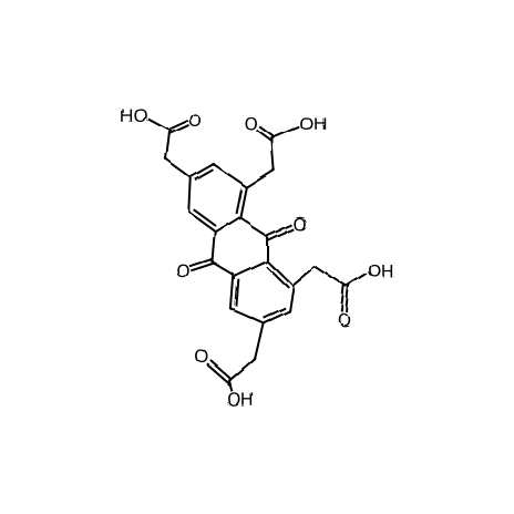 O=C(O)Cc1cc(CC(=O)O)c2c(c1)C(=O)c1cc(CC(=O)O)cc(CC(=O)O)c1C2=O